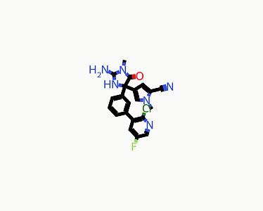 CN1C(=O)C(c2cccc(-c3cc(F)cnc3Cl)c2)(c2cc(C#N)n(C)c2)NC1N